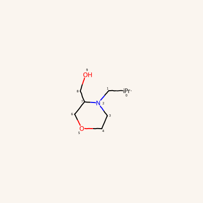 C[C](C)CN1CCOCC1CO